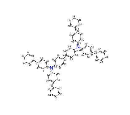 C1=CC(c2ccc(N(C3=CC=C(c4ccccc4)CC3)c3ccc(C4=CCC(N(c5ccc(C6=CCCC=C6)cc5)c5ccc(-c6ccccc6)cc5)C=C4)cc3)cc2)=CCC1